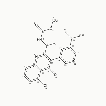 CC(NC(=O)OC(C)(C)C)c1nc2cccc(Cl)c2c(=O)n1-c1cncc(C(F)F)c1